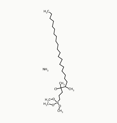 CCCCCCCCCCCCCCCCCCCCC(C)C(C)(Cl)CCC[Si](OC)(OC)OC.N